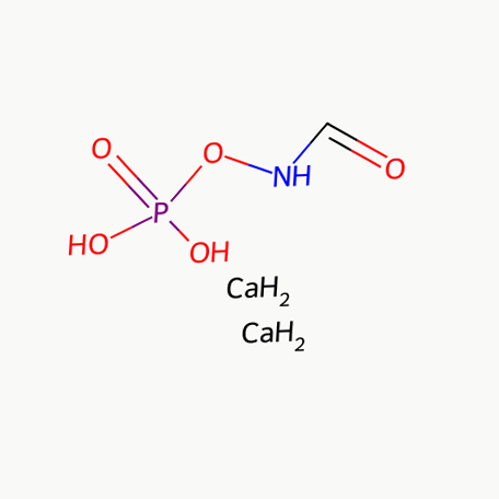 O=CNOP(=O)(O)O.[CaH2].[CaH2]